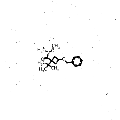 CON(C)C(=O)C1(C(C)(C)C)CC(OCc2ccccc2)C1